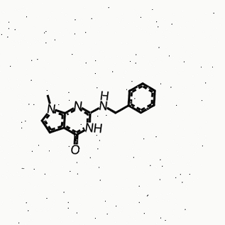 Cn1ccc2c(=O)[nH]c(NCc3ccccc3)nc21